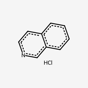 Cl.c1ccc2cnccc2c1